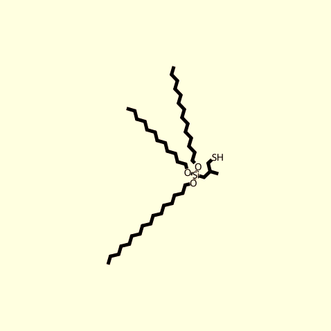 CCCCCCCCCCCCCCCCO[Si](CC(C)CS)(OCCCCCCCCCCCC)OCCCCCCCCCCCCCC